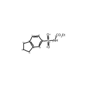 CCOC(=O)NS(=O)(=O)c1ccc2c(c1)CCC2